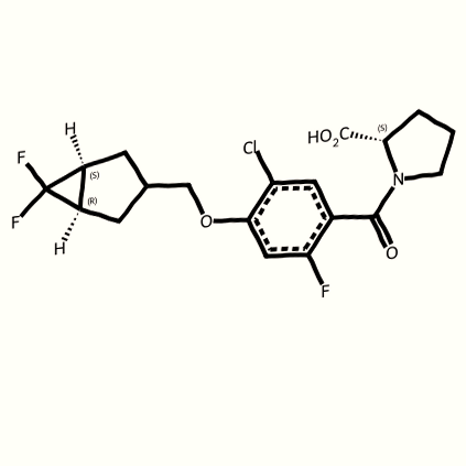 O=C(O)[C@@H]1CCCN1C(=O)c1cc(Cl)c(OCC2C[C@@H]3[C@H](C2)C3(F)F)cc1F